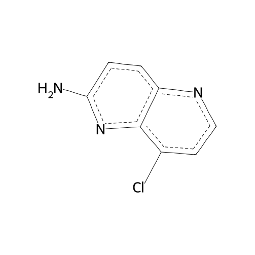 Nc1ccc2nccc(Cl)c2n1